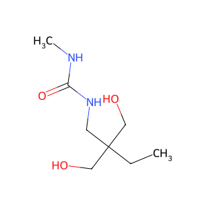 CCC(CO)(CO)CNC(=O)NC